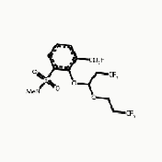 CNS(=O)(=O)c1cccc(C(=O)O)c1OC(CC(F)(F)F)OCCC(F)(F)F